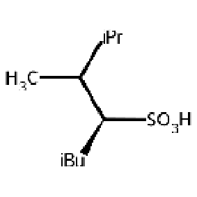 CCC(C)[C@@H](C(C)C(C)C)S(=O)(=O)O